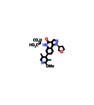 COc1ncc(C)c(-c2ccc3c(c2)[nH]c(=O)c2cnn(C4CCOC4)c23)c1C.O=C(O)CC(=O)O